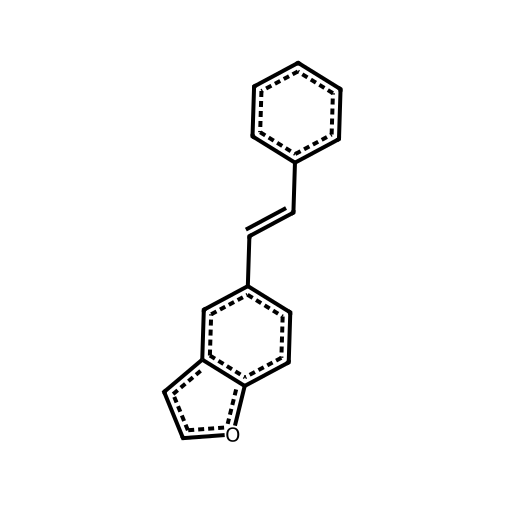 C(=Cc1ccc2occc2c1)c1ccccc1